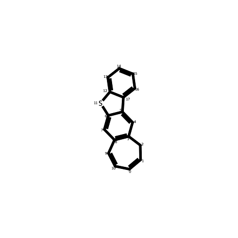 C1=CCc2cc3c(cc2C=C1)sc1ccccc13